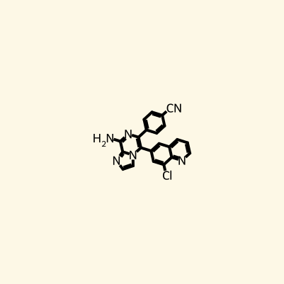 N#Cc1ccc(-c2nc(N)c3nccn3c2-c2cc(Cl)c3ncccc3c2)cc1